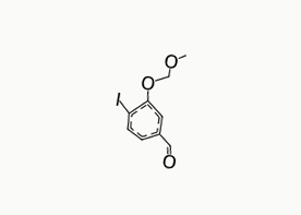 COCOc1cc(C=O)ccc1I